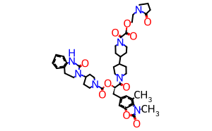 Cc1cc(C[C@@H](OC(=O)N2CCC(N3CCc4ccccc4NC3=O)CC2)C(=O)N2CCC(C3CCN(C(=O)C(=O)OCCN4CCCC4=O)CC3)CC2)cc2oc(=O)n(C)c12